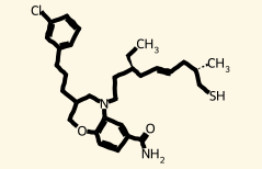 CC[C@@H](C/C=C/C[C@H](C)CS)CCN1CC(CCCc2cccc(Cl)c2)COc2ccc(C(N)=O)cc21